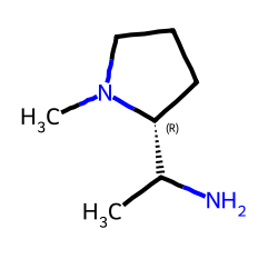 CC(N)[C@H]1CCCN1C